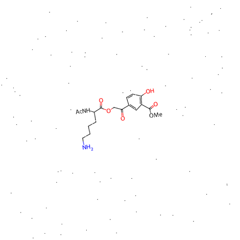 COC(=O)c1cc(C(=O)COC(=O)C(CCCCN)NC(C)=O)ccc1O